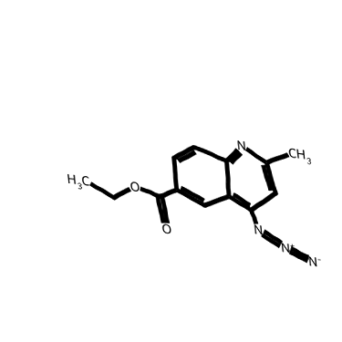 CCOC(=O)c1ccc2nc(C)cc(N=[N+]=[N-])c2c1